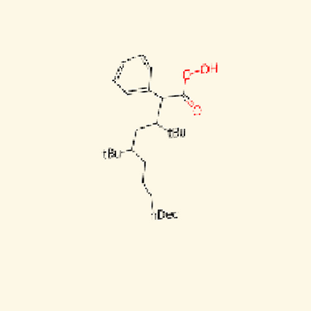 CCCCCCCCCCCCCC(CC(C(C(=O)OO)c1ccccc1)C(C)(C)C)C(C)(C)C